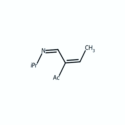 C/C=C(\C=N/C(C)C)C(C)=O